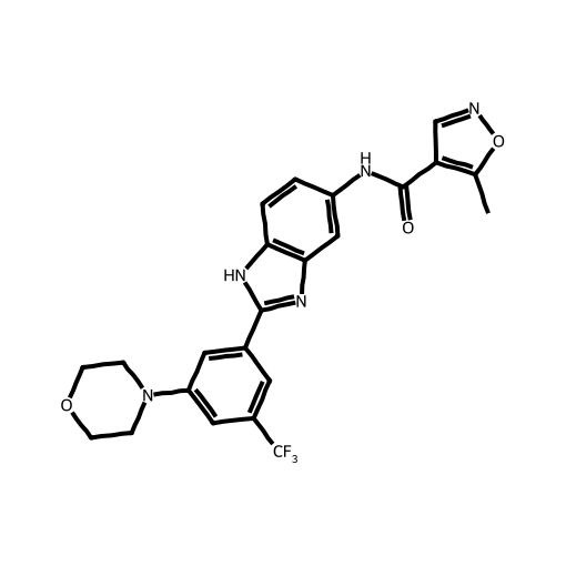 Cc1oncc1C(=O)Nc1ccc2[nH]c(-c3cc(N4CCOCC4)cc(C(F)(F)F)c3)nc2c1